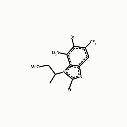 CCc1nc2cc(C(F)(F)F)c(Br)c([N+](=O)[O-])c2n1C(C)COC